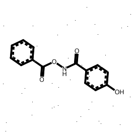 O=C(NOC(=O)c1ccccc1)c1ccc(O)cc1